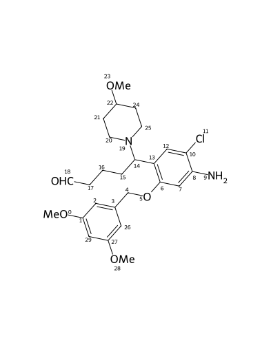 COc1cc(COc2cc(N)c(Cl)cc2C(CCCC=O)N2CCC(OC)CC2)cc(OC)c1